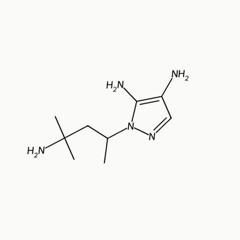 CC(CC(C)(C)N)n1ncc(N)c1N